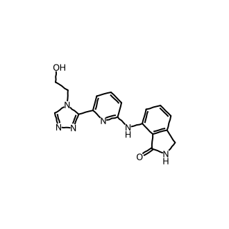 O=C1NCc2cccc(Nc3cccc(-c4nncn4CCO)n3)c21